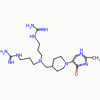 Cc1nc(=O)c(N2CCC(CN(CCCNC(=N)N)CCCNC(=N)N)CC2)c[nH]1